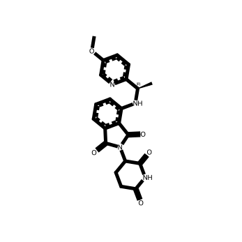 COc1ccc([C@@H](C)Nc2cccc3c2C(=O)N(C2CCC(=O)NC2=O)C3=O)nc1